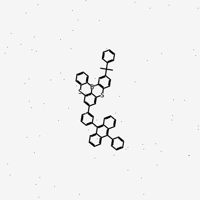 CC(C)(c1ccccc1)c1ccc2c(c1)B1c3ccccc3Sc3cc(-c4cccc(-c5c6ccccc6c(-c6ccccc6)c6ccccc56)c4)cc(c31)S2